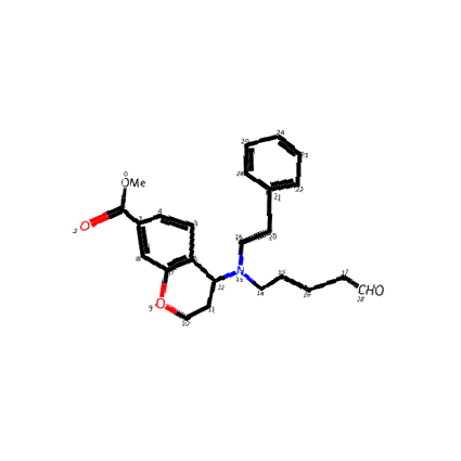 COC(=O)c1ccc2c(c1)OCCC2N(CCCCC=O)CCc1ccccc1